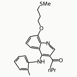 CCCC(=O)c1cnc2c(OCCCSC)cccc2c1Nc1ccccc1C